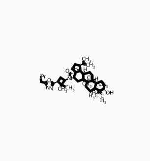 C=C(C)[C@@H]1CC[C@]2(C(=O)N[C@@H]3C[C@H](c4nnc(CC(C)C)o4)C3(C)C)CC[C@]3(C)[C@H](CC[C@@H]4[C@@]5(C)CC[C@H](O)C(C)(C)[C@@H]5CC[C@]43C)[C@@H]12